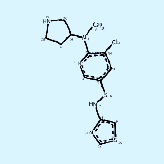 CN(c1ncc(SNc2cscn2)cc1Cl)C1CCNC1